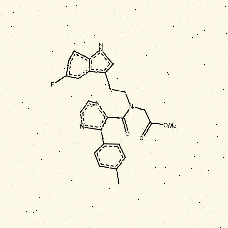 COC(=O)CN(CCc1c[nH]c2ccc(F)cc12)C(=O)c1nccnc1-c1ccc(C)cc1